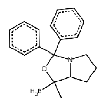 BC1(C)OC(c2ccccc2)(c2ccccc2)N2CCCC21